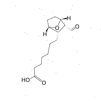 O=C[C@@H]1[C@H](CCCCCCC(=O)O)[C@@H]2CC[C@H]1O2